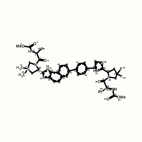 COC(=O)NC(C(=O)N1C[Si](C)(C)C[C@H]1c1nc2ccc3cc(-c4ccc(-c5cnc(C6CC(F)(F)CN6C(=O)[C@@H](NC(=O)OC)C(C)C)[nH]5)cc4)ccc3c2[nH]1)C(C)C